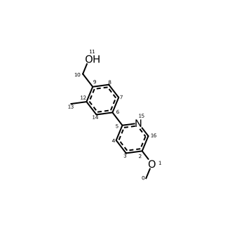 COc1ccc(-c2ccc(CO)c(C)c2)nc1